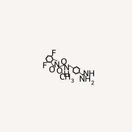 CCO[C@@H](C(=O)NCc1ccc(C(=N)N)cc1)N1Cc2c(F)ccc(F)c2C1=O